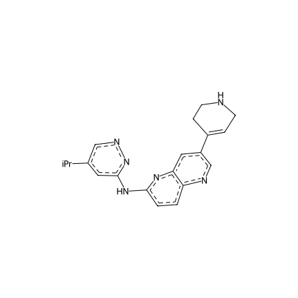 CC(C)c1cnnc(Nc2ccc3ncc(C4=CCNCC4)cc3n2)c1